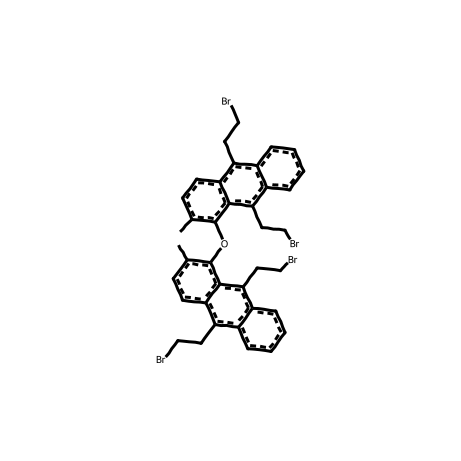 Cc1ccc2c(CCBr)c3ccccc3c(CCBr)c2c1Oc1c(C)ccc2c(CCBr)c3ccccc3c(CCBr)c12